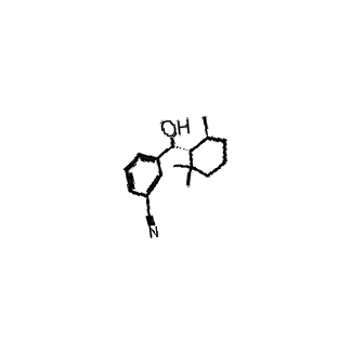 C[C@H]1CCCC(C)(C)[C@@H]1C(O)c1cccc(C#N)c1